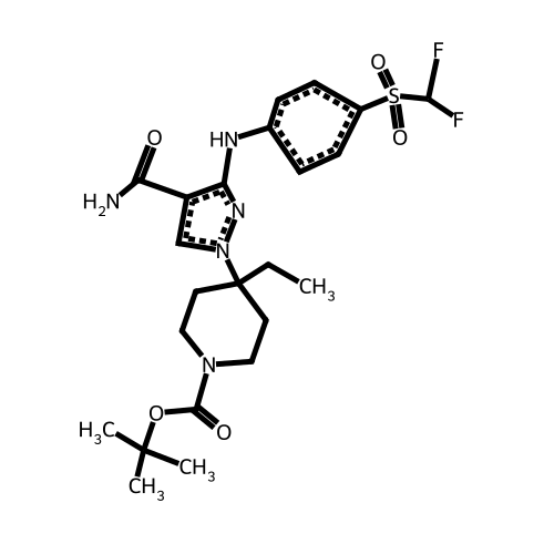 CCC1(n2cc(C(N)=O)c(Nc3ccc(S(=O)(=O)C(F)F)cc3)n2)CCN(C(=O)OC(C)(C)C)CC1